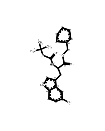 CC(C)(C)OC(=O)NC(Cc1c[nH]c2ccc(O)cc12)C(=O)OCc1ccccc1